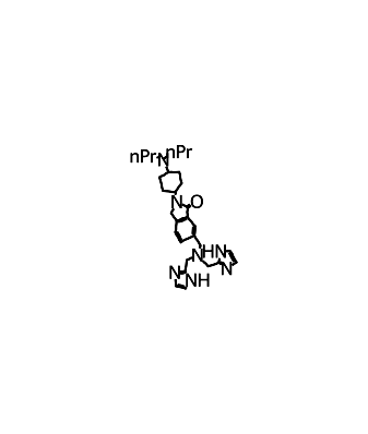 CCCN(CCC)C1CCC(N2Cc3ccc(CN(Cc4ncc[nH]4)Cc4ncc[nH]4)cc3C2=O)CC1